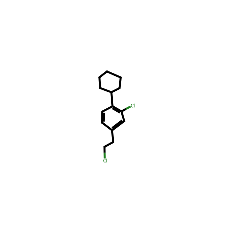 ClCCc1ccc(C2CCCCC2)c(Cl)c1